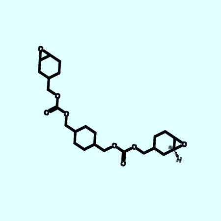 O=C(OCC1CCC(COC(=O)OCC2CCC3O[C@H]3C2)CC1)OCC1CCC2OC2C1